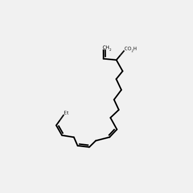 C=CC(CCCCCC/C=C\C/C=C\C/C=C\CC)C(=O)O